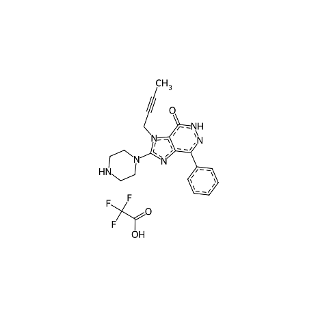 CC#CCn1c(N2CCNCC2)nc2c(-c3ccccc3)n[nH]c(=O)c21.O=C(O)C(F)(F)F